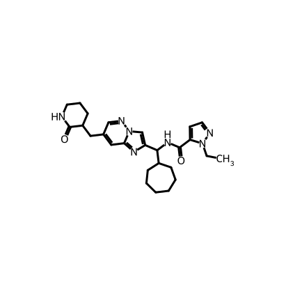 CCn1nccc1C(=O)NC(c1cn2ncc(CC3CCCNC3=O)cc2n1)C1CCCCCC1